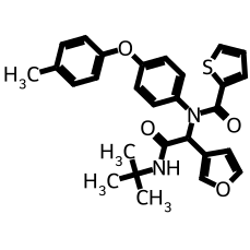 Cc1ccc(Oc2ccc(N(C(=O)c3cccs3)C(C(=O)NC(C)(C)C)c3ccoc3)cc2)cc1